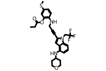 CCC(=O)Oc1cc(SC)ccc1NCC#Cc1cc2c(NC3CCOCC3)cccc2n1CC(F)(F)F